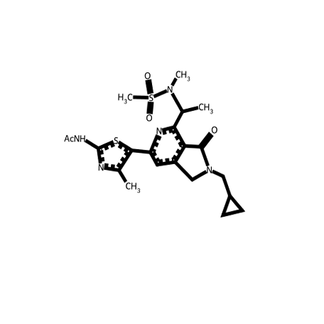 CC(=O)Nc1nc(C)c(-c2cc3c(c(C(C)N(C)S(C)(=O)=O)n2)C(=O)N(CC2CC2)C3)s1